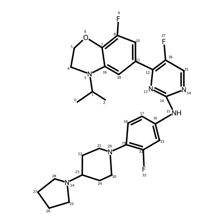 CC(C)N1CCOc2c(F)cc(-c3nc(Nc4ccc(N5CCC(N6CCCC6)CC5)c(F)c4)ncc3F)cc21